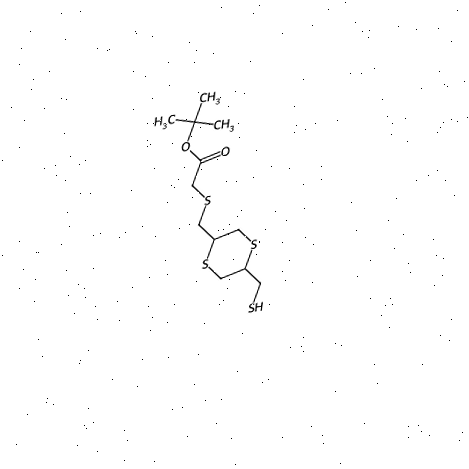 CC(C)(C)OC(=O)CSCC1CSC(CS)CS1